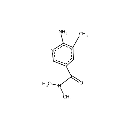 Cc1cc(C(=O)N(C)C)cnc1N